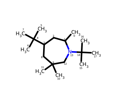 CC1CC(C(C)(C)C)CC(C)(C)CN1C(C)(C)C